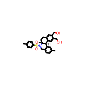 Cc1ccc(S(=O)(=O)N2Cc3ccc(C)cc3[C@@H]3c4cc(CO)c(CO)cc4CC[C@]32C)cc1